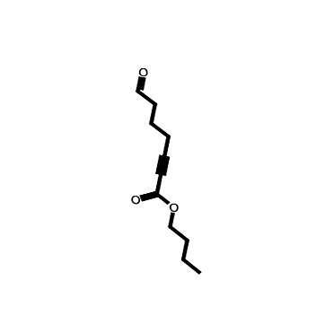 CCCCOC(=O)C#CCCCC=O